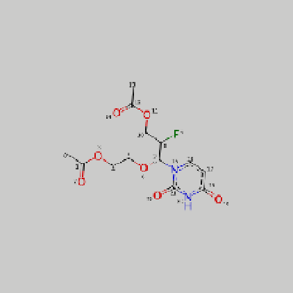 CC(=O)OCCO[C@H](C(F)COC(C)=O)n1ccc(=O)[nH]c1=O